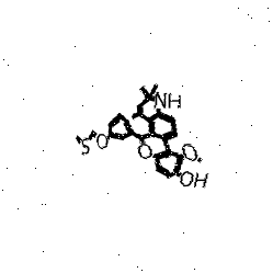 COc1c(O)ccc2c1-c1ccc3c(c1C(c1cccc(OCSC)c1)O2)C(C)=CC(C)(C)N3